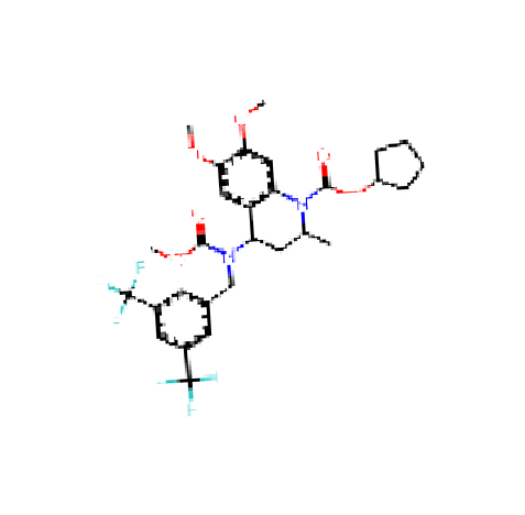 COC(=O)N(Cc1cc(C(F)(F)F)cc(C(F)(F)F)c1)C1CC(C)N(C(=O)OC2CCCC2)c2cc(OC)c(OC)cc21